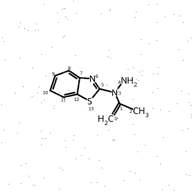 C=C(C)N(N)c1nc2ccccc2s1